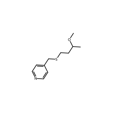 COC(C)CCSCc1ccncc1